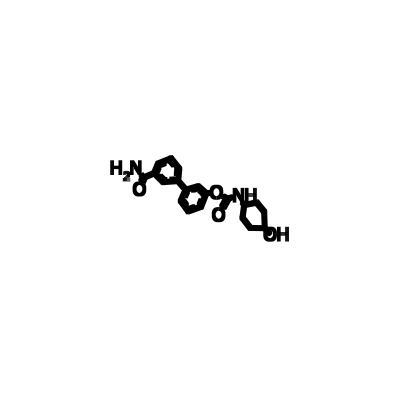 NC(=O)c1cccc(-c2cccc(OC(=O)NC3CCC(O)CC3)c2)c1